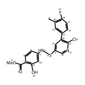 COC(=O)c1ccc(NSc2cnc(Cl)c(-c3ccc(F)c(C)c3)c2)cc1O